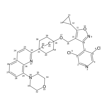 Clc1cncc(Cl)c1-c1noc(C2CC2)c1COC12CCC(c3ccc4cccc(N5CCOCC5)c4n3)(CC1)CC2